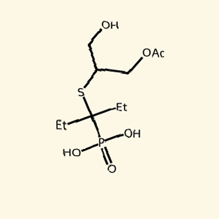 CCC(CC)(SC(CO)COC(C)=O)P(=O)(O)O